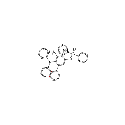 Nc1c(OP(=O)(c2ccccc2)c2ccccc2)cc(-c2ccccc2)c(N(c2ccccc2)c2ccccc2)c1N